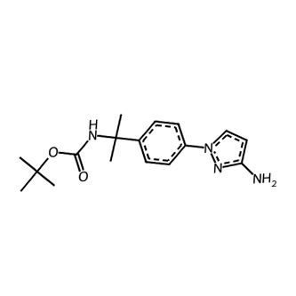 CC(C)(C)OC(=O)NC(C)(C)c1ccc(-n2ccc(N)n2)cc1